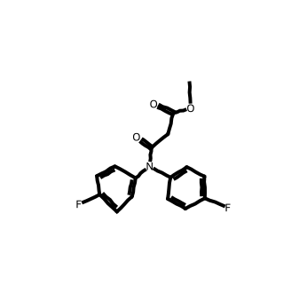 COC(=O)CC(=O)N(c1ccc(F)cc1)c1ccc(F)cc1